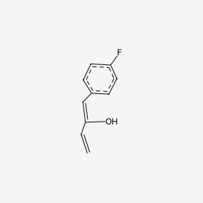 C=C/C(O)=C/c1ccc(F)cc1